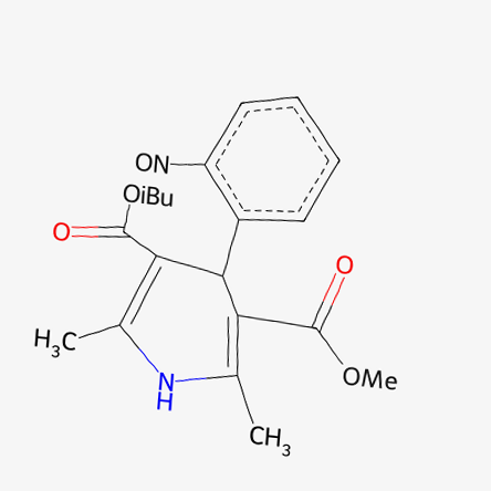 COC(=O)C1=C(C)NC(C)=C(C(=O)OCC(C)C)C1c1ccccc1N=O